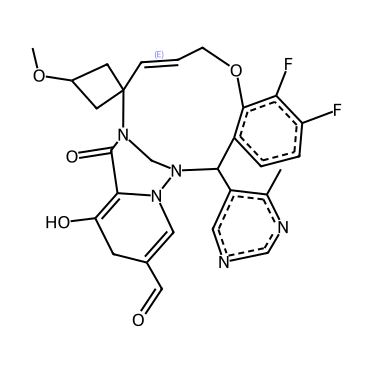 COC1CC2(/C=C/COc3c(ccc(F)c3F)C(c3cncnc3C)N3CN2C(=O)C2=C(O)CC(C=O)=CN23)C1